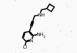 Nc1nc(Cl)ccc1C#CCNCC1CCC1